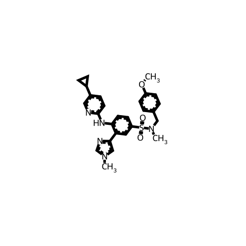 COc1ccc(CN(C)S(=O)(=O)c2ccc(Nc3ccc(C4CC4)cn3)c(-c3cn(C)cn3)c2)cc1